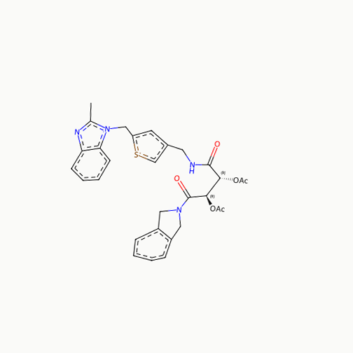 CC(=O)O[C@@H](C(=O)NCc1csc(Cn2c(C)nc3ccccc32)c1)[C@@H](OC(C)=O)C(=O)N1Cc2ccccc2C1